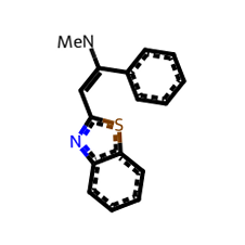 CNC(=Cc1nc2ccccc2s1)c1ccccc1